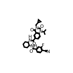 CC(C)n1c(=O)n(CC2CC2)c(=O)c2cc(C(=O)NC3CCCC[C@H]3NC(=O)c3ccc(C#N)c(F)c3)ccc21